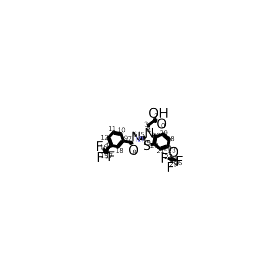 O=C(O)Cn1/c(=N/C(=O)c2cccc(C(F)(F)F)c2)sc2cc(OC(F)(F)F)ccc21